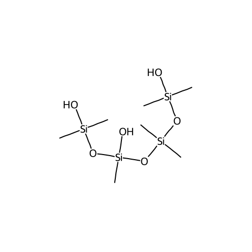 C[Si](C)(O)O[Si](C)(C)O[Si](C)(O)O[Si](C)(C)O